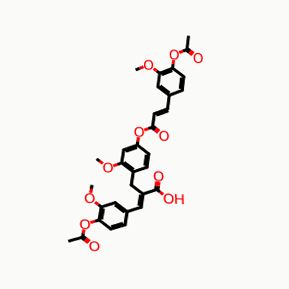 COc1cc(OC(=O)/C=C/c2ccc(OC(C)=O)c(OC)c2)ccc1C/C(=C\c1ccc(OC(C)=O)c(OC)c1)C(=O)O